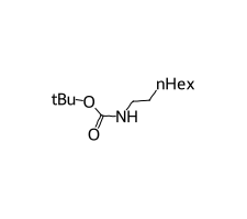 C[CH]CCCCCCNC(=O)OC(C)(C)C